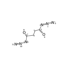 [N-]=[N+]=NC(=O)CCC(=O)N=[N+]=[N-]